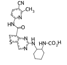 Cc1nc(NC(=O)c2csc3cnc(NC4CCCCC4NC(=O)O)nc23)ccc1C#N